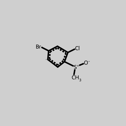 C[S+]([O-])c1c[c]c(Br)cc1Cl